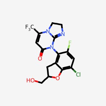 O=C1C=C(C(F)(F)F)N2CCN=C2N1c1c(F)cc(Cl)c2c1CC(CO)O2